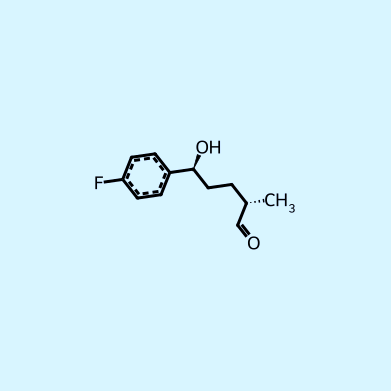 C[C@H](C=O)CC[C@H](O)c1ccc(F)cc1